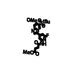 COC(=O)CCC(=O)Nc1cc(-c2cnc3cc(OC)c(S(=O)(=O)C(C)(C)C)cn23)cc(F)n1